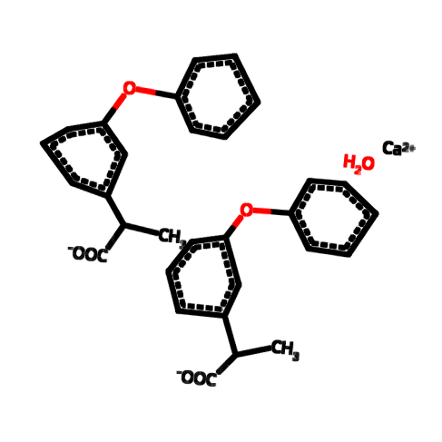 CC(C(=O)[O-])c1cccc(Oc2ccccc2)c1.CC(C(=O)[O-])c1cccc(Oc2ccccc2)c1.O.[Ca+2]